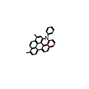 Cc1ccc2c3ccccc3c3c(N(c4ccccc4)c4ccccc4)cc(C)c4ccc1c2c43